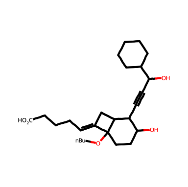 CCCCOC12CCC(O)C(C#CC(O)C3CCCCC3)C1CC2=CCCCC(=O)O